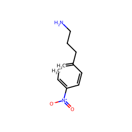 C=C(/C=C\C(=C/C)[N+](=O)[O-])CCCN